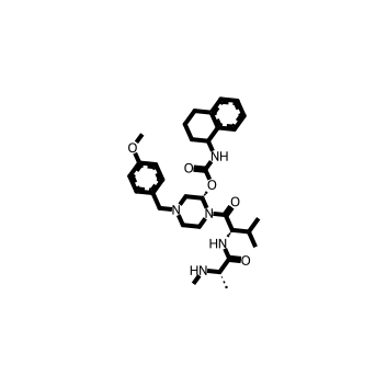 CN[C@@H](C)C(=O)N[C@H](C(=O)N1CCN(Cc2ccc(OC)cc2)C[C@@H]1OC(=O)NC1CCCc2ccccc21)C(C)C